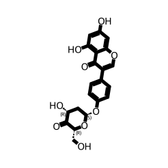 O=C1[C@H](O)C[C@H](Oc2ccc(-c3coc4cc(O)cc(O)c4c3=O)cc2)O[C@@H]1CO